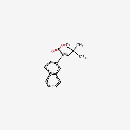 CC(C)(C)C=C(C(=O)O)c1ccc2ccccc2c1